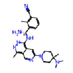 Cc1c(C#N)cccc1[C@@H](N)Nc1nnc(C)c2cnc(N3CCC(C)(N(C)C)CC3)cc12